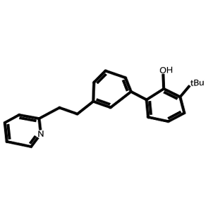 CC(C)(C)c1cccc(-c2cccc(CCc3ccccn3)c2)c1O